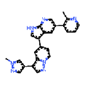 Cc1ncccc1-c1cnc2[nH]cc(-c3ccn4ncc(-c5cnn(C)c5)c4c3)c2c1